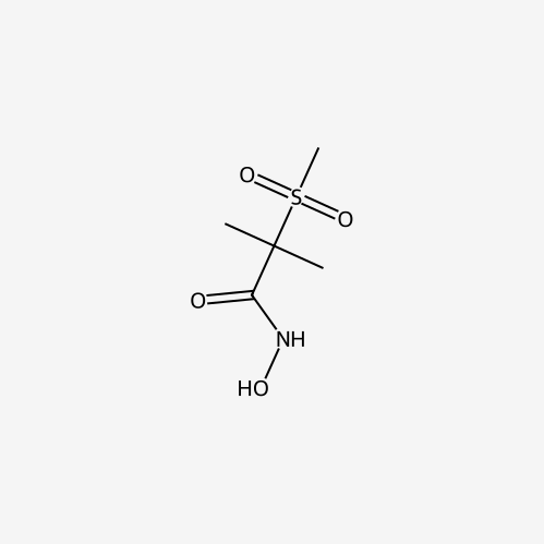 CC(C)(C(=O)NO)S(C)(=O)=O